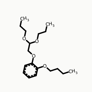 CCCCOc1ccccc1OCC(OCCC)OCCC